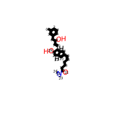 Cc1cccc(C[C@H](O)/C=C/[C@@H]2[C@H]3CC(/C=C\CCCC(=O)N(C)C)=C[C@H]3C[C@H]2O)c1